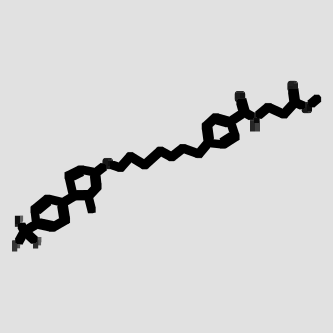 COC(=O)CCNC(=O)c1ccc(CCCCCCCOc2ccc(-c3ccc(C(F)(F)F)cc3)c(C)c2)cc1